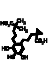 CC(C)(CCCc1c(CCCC2(C(=O)O)CC2)cc(O)c(O)c1O)C(=O)O